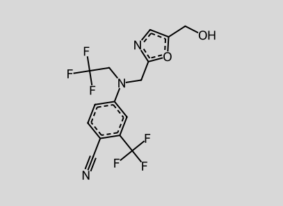 N#Cc1ccc(N(Cc2ncc(CO)o2)CC(F)(F)F)cc1C(F)(F)F